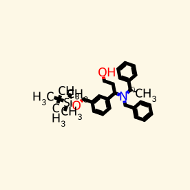 C[C@@H](c1ccccc1)N(Cc1ccccc1)C(CCO)c1cccc(CO[Si](C)(C)C(C)(C)C)c1